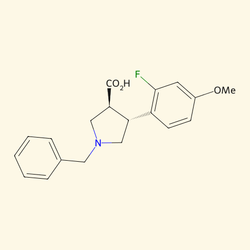 COc1ccc([C@@H]2CN(Cc3ccccc3)C[C@H]2C(=O)O)c(F)c1